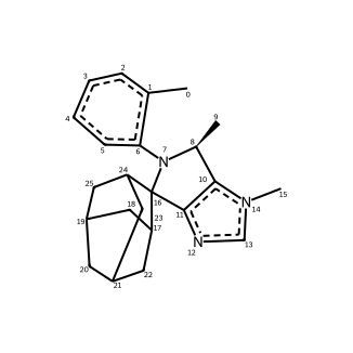 Cc1ccccc1N1[C@@H](C)c2c(ncn2C)C12C1CC3CC(C1)CC2C3